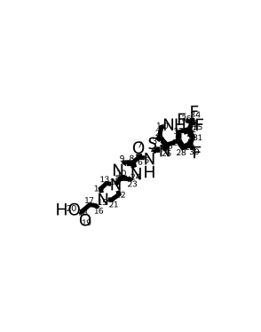 NCc1sc(NC(=O)c2cnc(N3CCN(CCC(=O)O)CC3)cn2)nc1-c1cc(F)cc(C(F)(F)F)c1